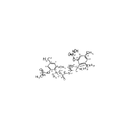 Cc1cc(C)c(C(C)(C)CC(=O)SSC(=O)CC(C)(C)c2c(C)cc(C)cc2O[PH](=O)O)c(O[PH](C)=O)c1